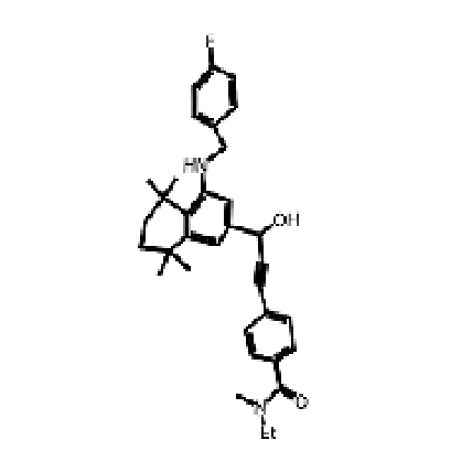 CCN(C)C(=O)c1ccc(C#CC(O)c2cc(NCc3ccc(F)cc3)c3c(c2)C(C)(C)CCC3(C)C)cc1